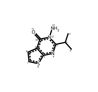 CC(C)c1nc2sccc2c(=O)n1N